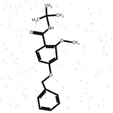 COc1cc(OCc2ccccc2)ccc1C(=O)NC(C)(C)C